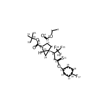 CCOC(=O)[C@@H]1C[C@]2(C(CC(=S)Oc3ccc(F)cc3)C(F)(F)F)C[C@@H]2N1C(=O)OC(C)(C)C